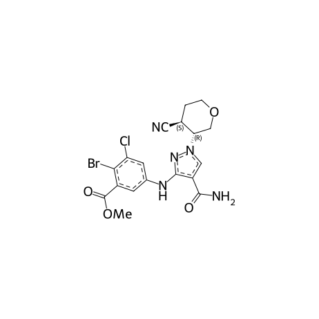 COC(=O)c1cc(Nc2nn([C@H]3COCC[C@@H]3C#N)cc2C(N)=O)cc(Cl)c1Br